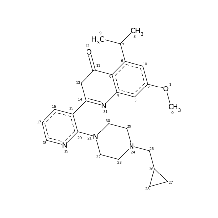 COc1cc2c(c(C(C)C)c1)C(=O)CC(c1cccnc1N1CCN(CC3CC3)CC1)=N2